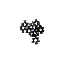 CCC/C=C(\c1ccc(-c2cccc3cccc(-c4ccc(-c5cc(-c6ccccc6)nc(-c6ccccc6)n5)cc4)c23)cc1)N(c1ccccc1)c1ccccc1C